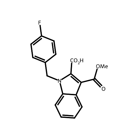 COC(=O)c1c(C(=O)O)n(Cc2ccc(F)cc2)c2ccccc12